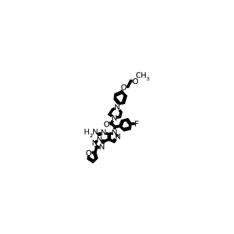 COCCOc1ccc(N2CCN(C(=O)C(c3ccc(F)cc3)n3ncc4c3nc(N)n3nc(-c5ccco5)nc43)CC2)cc1